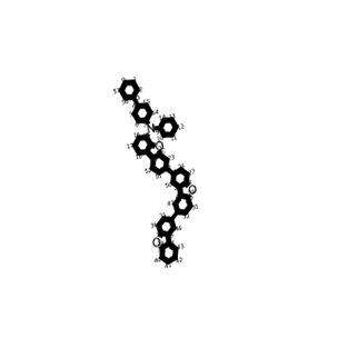 c1ccc(-c2ccc(N(c3ccccc3)c3cccc4c3oc3cc(-c5ccc6oc7ccc(-c8ccc9oc%10ccccc%10c9c8)cc7c6c5)ccc34)cc2)cc1